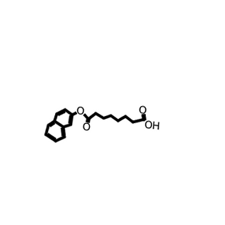 O=C(O)CCCCCCC(=O)Oc1ccc2ccccc2c1